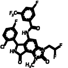 Cn1c(=O)n(CC(F)F)c2cc(NC(=O)c3cc(F)cc(C(F)(F)F)c3)c3c(c21)C(=O)NC3c1cc(F)ccc1Cl